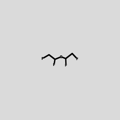 FCC(F)OC(F)CF